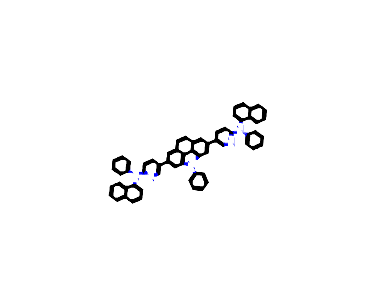 c1ccc(N(c2ccc(-c3cc4ccc5cc(-c6ccc(N(c7ccccc7)c7cccc8ccccc78)nc6)cc6c5c4c(c3)n6-c3ccccc3)cn2)c2cccc3ccccc23)cc1